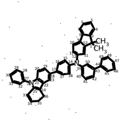 CC1(C)c2ccccc2-c2ccc(N(c3ccc(-c4ccc5c(c4)c4c(n5-c5ccccc5)C=CCC4)cc3)c3cccc(-c4ccccc4)c3)cc21